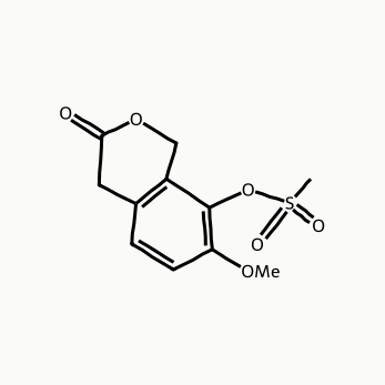 COc1ccc2c(c1OS(C)(=O)=O)COC(=O)C2